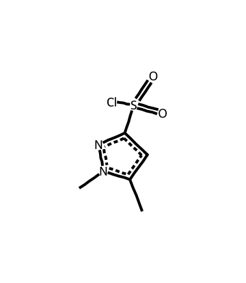 Cc1cc(S(=O)(=O)Cl)nn1C